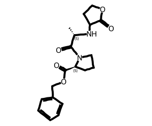 C[C@H](NC1CCOC1=O)C(=O)N1CCC[C@H]1C(=O)OCc1ccccc1